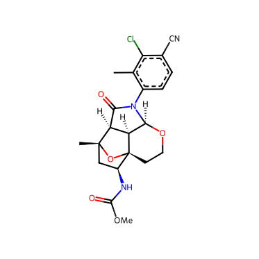 COC(=O)N[C@H]1C[C@@]2(C)O[C@@]13CCO[C@H]1[C@@H]3[C@@H]2C(=O)N1c1ccc(C#N)c(Cl)c1C